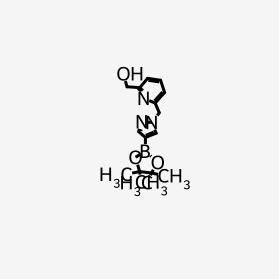 CC1(C)OB(c2cnn(Cc3cccc(CO)n3)c2)OC1(C)C